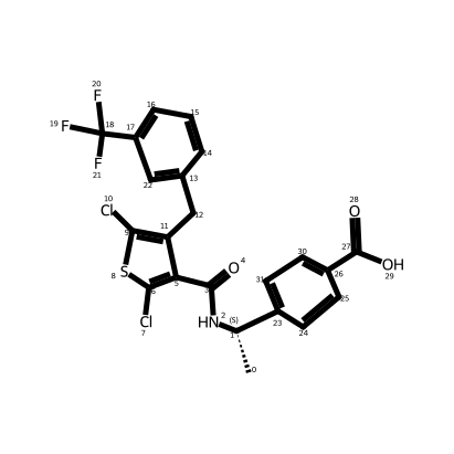 C[C@H](NC(=O)c1c(Cl)sc(Cl)c1Cc1cccc(C(F)(F)F)c1)c1ccc(C(=O)O)cc1